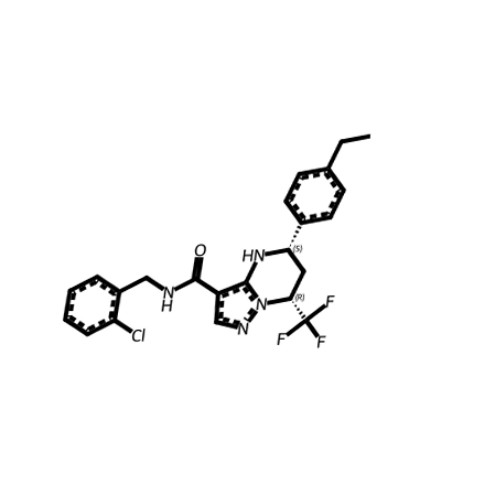 CCc1ccc([C@@H]2C[C@H](C(F)(F)F)n3ncc(C(=O)NCc4ccccc4Cl)c3N2)cc1